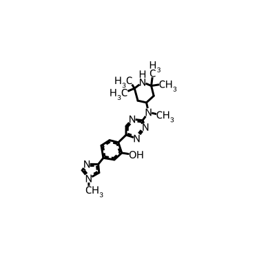 CN(c1ncc(-c2ccc(-c3cn(C)cn3)cc2O)nn1)C1CC(C)(C)NC(C)(C)C1